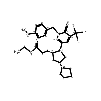 CCOC(=O)CC[C@@H]1C[C@H](N2CCCC2)CN1c1cc(C(F)(F)F)c(=O)n(Cc2ccc(OC)cc2)n1